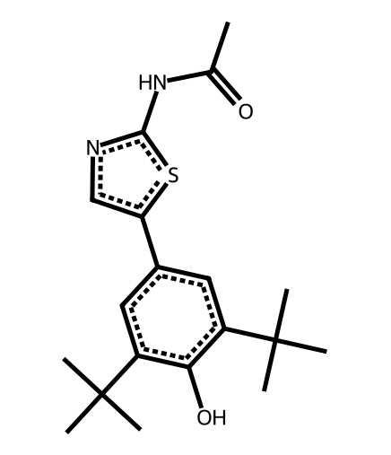 CC(=O)Nc1ncc(-c2cc(C(C)(C)C)c(O)c(C(C)(C)C)c2)s1